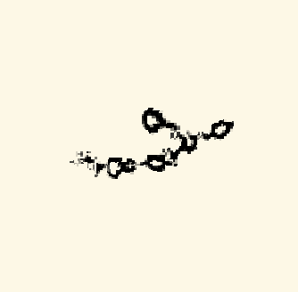 CC(C)(C)OC(=O)N1CCC2(CC1)CN(c1ccc3nc(-c4ccc(OCc5ccccc5)nc4OCc4ccccc4)oc3c1)C2